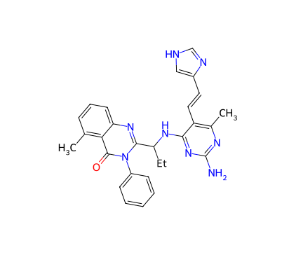 CCC(Nc1nc(N)nc(C)c1C=Cc1c[nH]cn1)c1nc2cccc(C)c2c(=O)n1-c1ccccc1